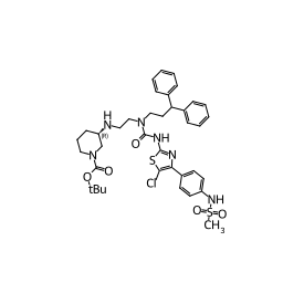 CC(C)(C)OC(=O)N1CCC[C@@H](NCCN(CCC(c2ccccc2)c2ccccc2)C(=O)Nc2nc(-c3ccc(NS(C)(=O)=O)cc3)c(Cl)s2)C1